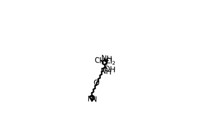 Nc1c(Cl)cc(C(O)CNCCCCCCOCCCCCCc2cncnc2)cc1Cl